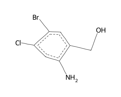 Nc1cc(Cl)c(Br)cc1CO